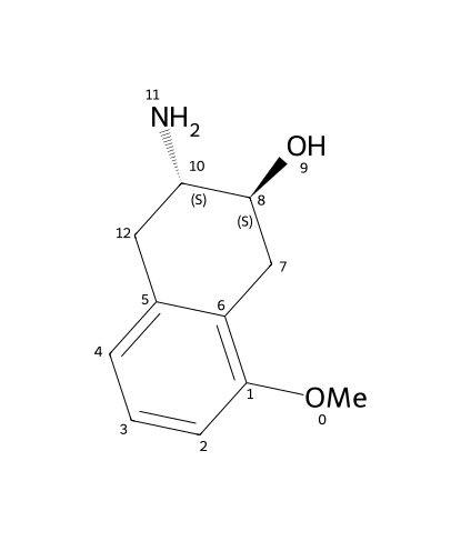 COc1cccc2c1C[C@H](O)[C@@H](N)C2